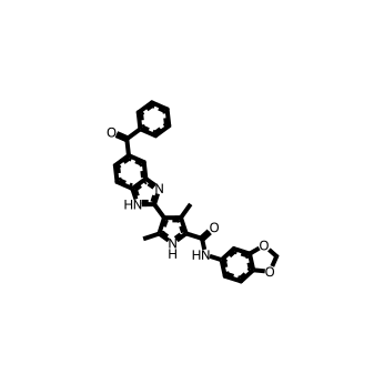 Cc1[nH]c(C(=O)Nc2ccc3c(c2)OCO3)c(C)c1-c1nc2cc(C(=O)c3ccccc3)ccc2[nH]1